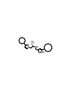 C[C@H](Cn1ccc(C2CCCCCCC2)n1)NCc1cc(C2CCCCCCCCC2)[nH]n1